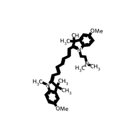 COc1ccc2c(c1)C(C)(C)C(/C=C/C=C/C=C/C=C1/N(C)c3ccc(OC)cc3C1(C)C)=[N+]2CCN(C)C